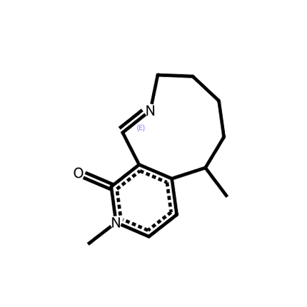 CC1CCCC/N=C/c2c1ccn(C)c2=O